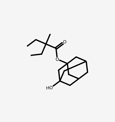 CCC(C)(CC)C(=O)OC12CC3CC(CC(O)(C3)C1)C2